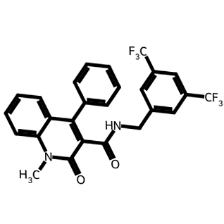 Cn1c(=O)c(C(=O)NCc2cc(C(F)(F)F)cc(C(F)(F)F)c2)c(-c2ccccc2)c2ccccc21